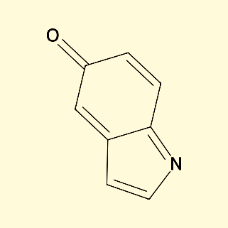 O=C1C=CC2=NC=CC2=C1